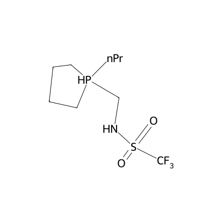 CCC[PH]1(CNS(=O)(=O)C(F)(F)F)CCCC1